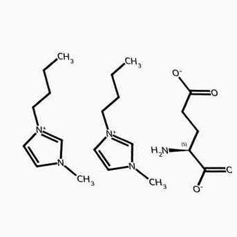 CCCC[n+]1ccn(C)c1.CCCC[n+]1ccn(C)c1.N[C@@H](CCC(=O)[O-])C(=O)[O-]